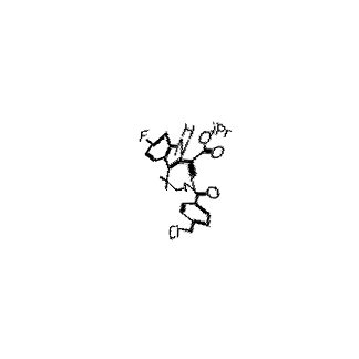 CC(C)OC(=O)C1=CN(C(=O)c2ccc(CCl)cc2)CC(C)(C)c2c1[nH]c1cc(F)ccc21